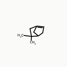 CC1(C)CC2=CCC1C2